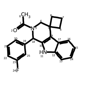 CC(=O)N1CC2(CCC2)c2c([nH]c3ccccc23)C1c1cccc(F)c1